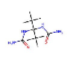 CC(C)(C)[Si](NC(N)=O)(NC(N)=O)C(C)(C)C